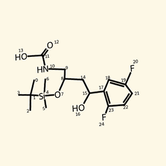 CC(C)(C)[Si](C)(C)OC(CNC(=O)O)CC(O)c1cc(F)ccc1F